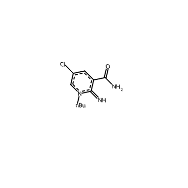 CCCCn1cc(Cl)cc(C(N)=O)c1=N